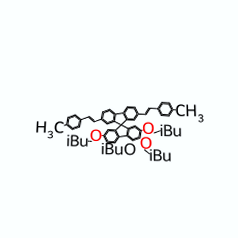 CCC(C)COc1cc2c(cc1OCC(C)C)-c1cc(OCC(C)CC)c(OCC(C)CC)cc1C21c2cc(/C=C/c3ccc(C)cc3)ccc2-c2ccc(/C=C/c3ccc(C)cc3)cc21